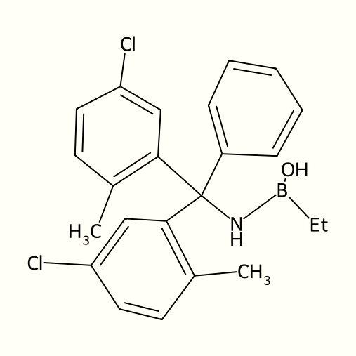 CCB(O)NC(c1ccccc1)(c1cc(Cl)ccc1C)c1cc(Cl)ccc1C